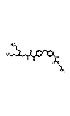 CCCCN(CCCC)CCNC(=O)Nc1ccc(Cc2ccc(NC(=O)OCCC)cc2)cc1